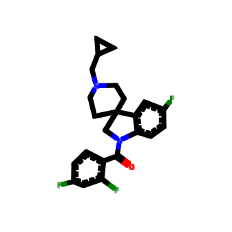 O=C(c1ccc(F)cc1F)N1CC2(CCN(CC3CC3)CC2)c2cc(F)ccc21